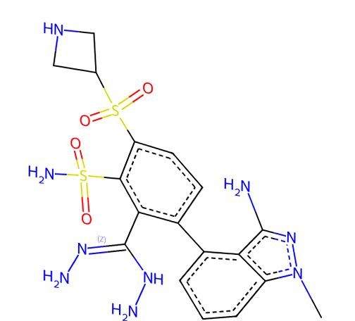 Cn1nc(N)c2c(-c3ccc(S(=O)(=O)C4CNC4)c(S(N)(=O)=O)c3/C(=N/N)NN)cccc21